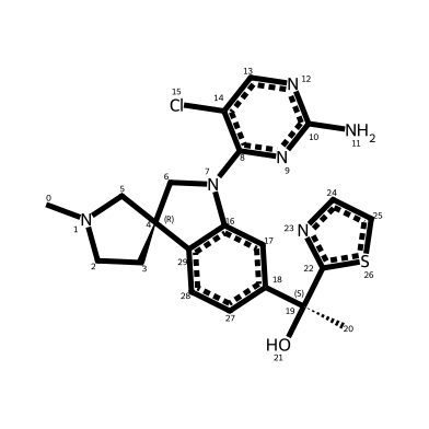 CN1CC[C@@]2(C1)CN(c1nc(N)ncc1Cl)c1cc([C@](C)(O)c3nccs3)ccc12